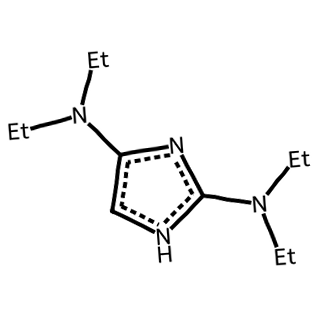 CCN(CC)c1c[nH]c(N(CC)CC)n1